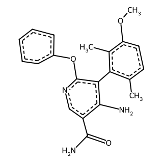 COc1ccc(C)c(-c2c(Oc3ccccc3)ncc(C(N)=O)c2N)c1C